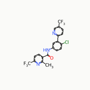 Cc1nc(C(F)(F)F)ccc1C(=O)Nc1ccc(Cl)c(-c2ccc(C(F)(F)F)cn2)c1